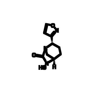 O=C1N(O)[C@@H]2CC[C@@H](c3ccon3)N1C2